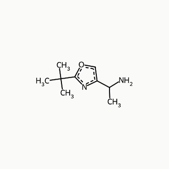 CC(N)c1coc(C(C)(C)C)n1